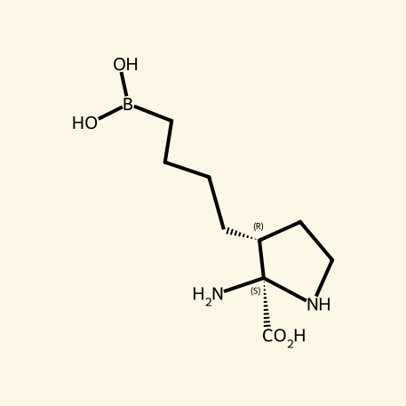 N[C@]1(C(=O)O)NCC[C@H]1CCCCB(O)O